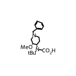 CO[C@@H]1CN(Cc2ccccc2)CC[C@H]1N(C(=O)O)C(C)(C)C